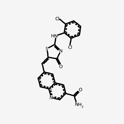 NC(=O)c1cnc2ccc(C=C3SC(Nc4c(Cl)cccc4Cl)=NC3=O)cc2c1